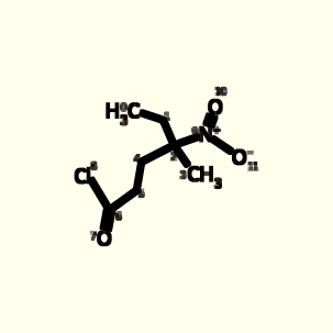 CCC(C)(CCC(=O)Cl)[N+](=O)[O-]